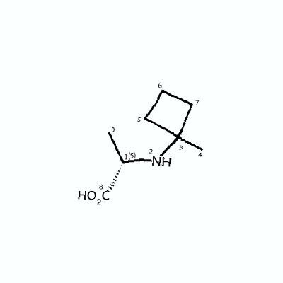 C[C@H](NC1(C)CCC1)C(=O)O